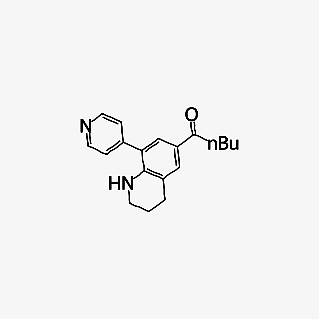 CCCCC(=O)c1cc2c(c(-c3ccncc3)c1)NCCC2